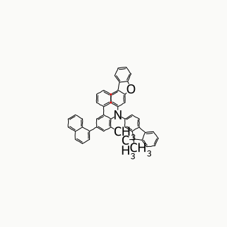 Cc1cc(-c2cccc3ccccc23)cc(-c2ccccc2)c1N(c1ccc2c(c1)C(C)(C)c1ccccc1-2)c1ccc2c(c1)oc1ccccc12